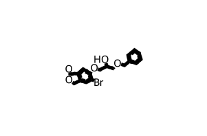 O=C1OCc2cc(Br)c(OCC(O)COCc3ccccc3)cc21